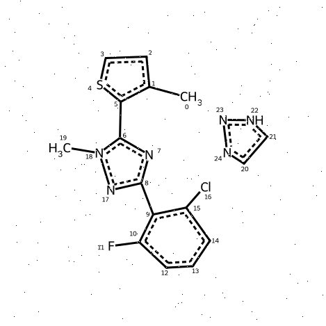 Cc1ccsc1-c1nc(-c2c(F)cccc2Cl)nn1C.c1c[nH]nn1